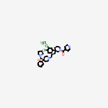 Cl.Cl.O=C(c1ccncc1)N1CCCC(CCCN2CCC(C(=O)N3CCCC3)(c3ccccc3)CC2)(c2ccc(Cl)c(Cl)c2)C1